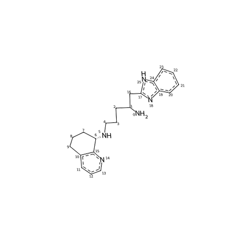 NC(CCCN[C@H]1CCCc2cccnc21)Cc1nc2ccccc2[nH]1